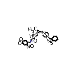 C=C1[C@H](CNC(=O)/C=C/c2cc3c(cc2N=O)OCO3)[C@H]1CN1CCN(c2nsc3ccccc23)CC1